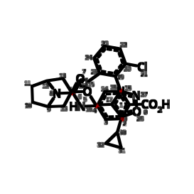 O=C(O)c1ccc(NC(=O)N2C3CCC2CC(OCc2c(-c4c(Cl)cccc4Cl)noc2C2CC2)C3)cn1